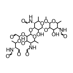 CO[C@H]1OC(C)[C@@H](NC=O)C(O)C1O[C@H]1OC(C)[C@@H](NC=O)[C@H](O[C@H]2OC(C)[C@@H](NC=O)C(O)C2O[C@H](C=O)OC(C)[C@H](C=O)NC=O)C1O